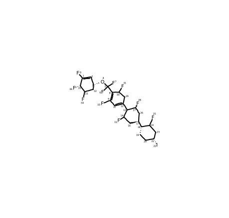 FC1=C[C@H](OC(F)(F)C2=C(F)C=C(C3C(F)C[C@H]([C@H]4CC[C@@H](I)CC4F)C[C@@H]3F)CC2F)CC(F)[C@@H]1F